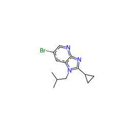 CC(C)Cn1c(C2CC2)nc2ncc(Br)cc21